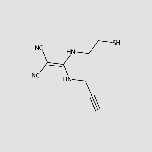 C#CCNC(NCCS)=C(C#N)C#N